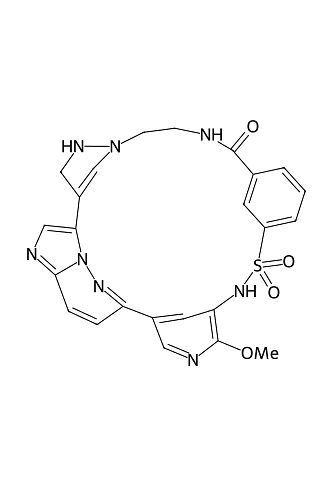 COc1ncc2cc1NS(=O)(=O)c1cccc(c1)C(=O)NCCN1C=C(CN1)c1cnc3ccc-2nn13